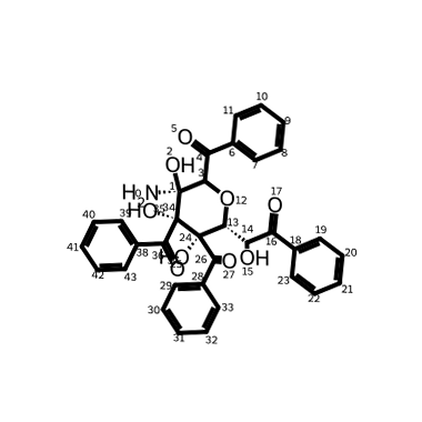 N[C@]1(O)C(C(=O)c2ccccc2)O[C@H](C(O)C(=O)c2ccccc2)[C@@](O)(C(=O)c2ccccc2)[C@@]1(O)C(=O)c1ccccc1